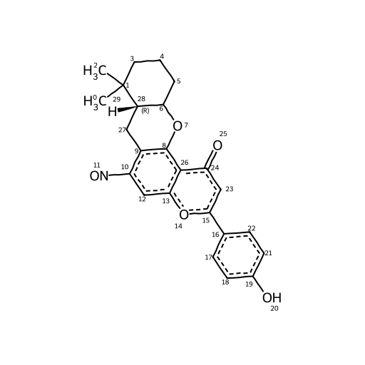 CC1(C)CCCC2Oc3c(c(N=O)cc4oc(-c5ccc(O)cc5)cc(=O)c34)C[C@@H]21